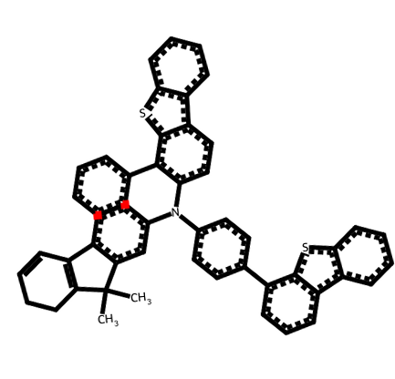 CC1(C)C2=C(C=CCC2)c2ccc(N(c3ccc(-c4cccc5c4sc4ccccc45)cc3)c3ccc4c(sc5ccccc54)c3-c3ccccc3)cc21